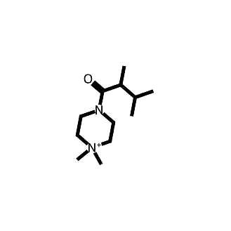 CC(C)C(C)C(=O)N1CC[N+](C)(C)CC1